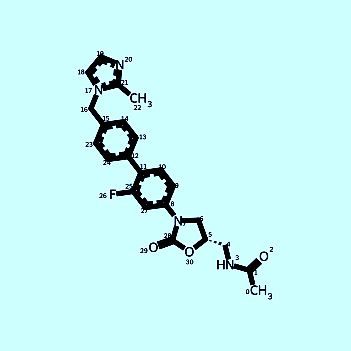 CC(=O)NC[C@H]1CN(c2ccc(-c3ccc(Cn4ccnc4C)cc3)c(F)c2)C(=O)O1